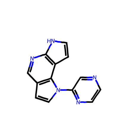 c1cnc(-n2ccc3cnc4[nH]ccc4c32)cn1